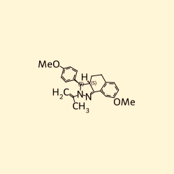 C=C(C)N1N=C2c3cc(OC)ccc3CC[C@H]2[C@@H]1c1ccc(OC)cc1